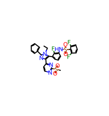 CCn1c(-c2ccccc2)nc(-c2ccnc(S(C)(=O)=O)n2)c1-c1cccc(NS(=O)(=O)c2c(F)cccc2F)c1F